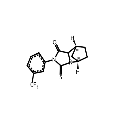 O=C1C2[C@@H]3CC[C@@H](C3)N2C(=S)N1c1cccc(C(F)(F)F)c1